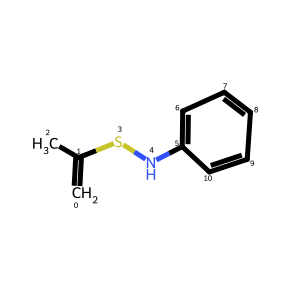 C=C(C)SNc1ccccc1